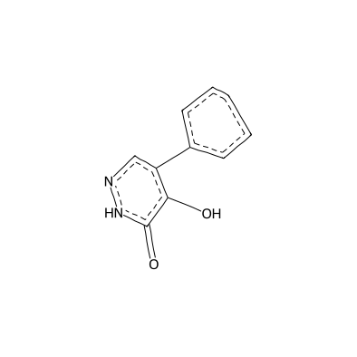 O=c1[nH]ncc(-c2ccccc2)c1O